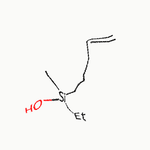 C=CC[Si](C)(O)CC